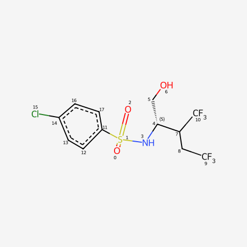 O=S(=O)(N[C@H](CO)C(CC(F)(F)F)C(F)(F)F)c1ccc(Cl)cc1